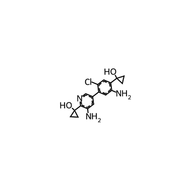 Nc1cc(-c2cnc(C3(O)CC3)c(N)c2)c(Cl)cc1C1(O)CC1